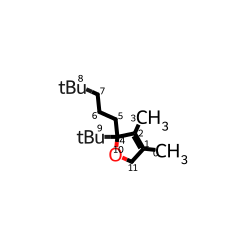 CC1=C(C)C(CCCC(C)(C)C)(C(C)(C)C)OC1